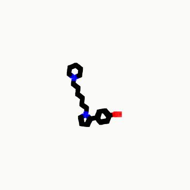 Oc1ccc(-c2cccn2CCCCCCN2CCCCC2)cc1